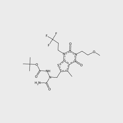 COCCn1c(=O)c2c(C)c(CN(NC(=O)OC(C)(C)C)C(N)=O)sc2n(CCC(F)(F)F)c1=O